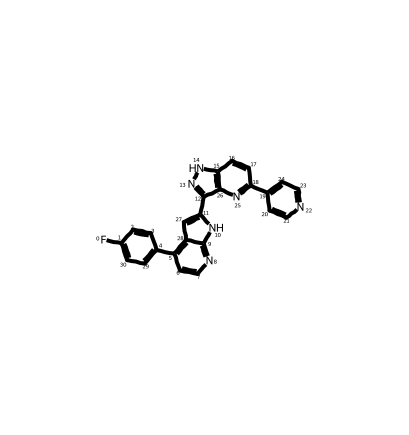 Fc1ccc(-c2ccnc3[nH]c(-c4n[nH]c5ccc(-c6ccncc6)nc45)cc23)cc1